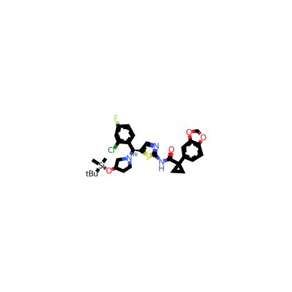 CC(C)(C)[Si](C)(C)OC1CCN([C@H](c2cnc(NC(=O)C3(c4ccc5c(c4)OCO5)CC3)s2)c2ccc(F)cc2Cl)C1